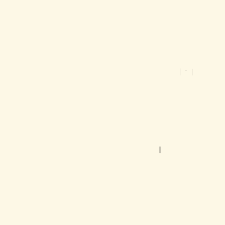 I.PCCCC(c1ccccc1)(c1ccccc1)c1ccccc1